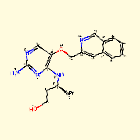 CCC[C@@H](CCO)Nc1nc(N)ncc1OCc1cc2ccccc2cn1